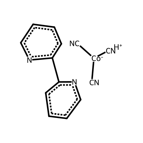 N#[C][Co-]([C]#N)[C]#N.[H+].c1ccc(-c2ccccn2)nc1